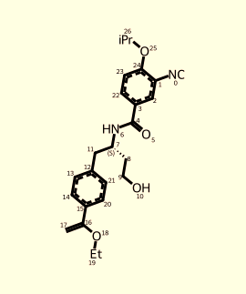 [C-]#[N+]c1cc(C(=O)N[C@H](CCO)Cc2ccc(C(=C)OCC)cc2)ccc1OC(C)C